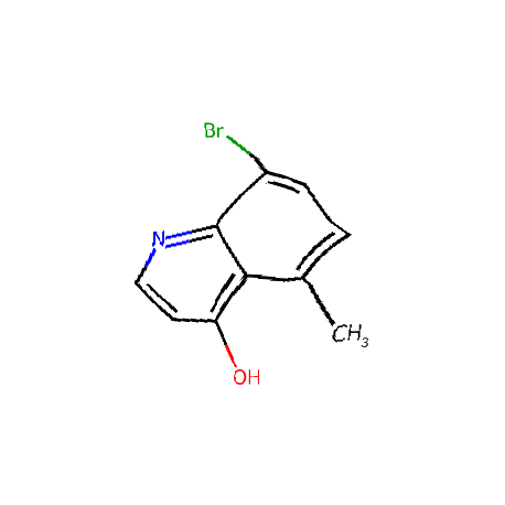 Cc1ccc(Br)c2nccc(O)c12